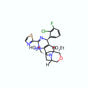 CCOC(=O)C1=C(CN2[C@@H]3COC[C@H]2C[C@@H](CC(=O)O)C3)NC(c2nccs2)=N[C@H]1c1cccc(F)c1Cl